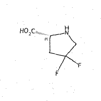 O=C(O)[C@H]1CC(F)(F)CN1